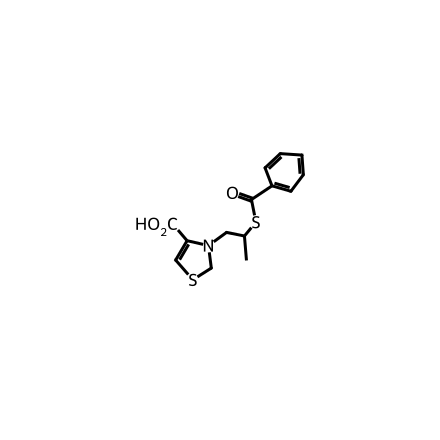 CC(CN1CSC=C1C(=O)O)SC(=O)c1ccccc1